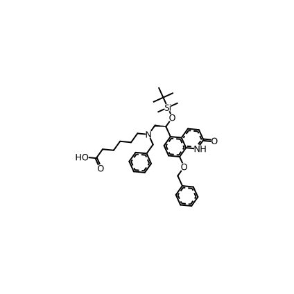 CC(C)(C)[Si](C)(C)O[C@H](CN(CCCCCC(=O)O)Cc1ccccc1)c1ccc(OCc2ccccc2)c2[nH]c(=O)ccc12